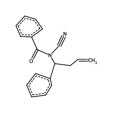 C=CCC(c1ccccc1)N(C#N)C(=O)c1ccccc1